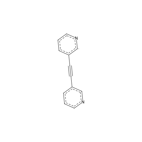 C(#Cc1cccnc1)c1[c]nccc1